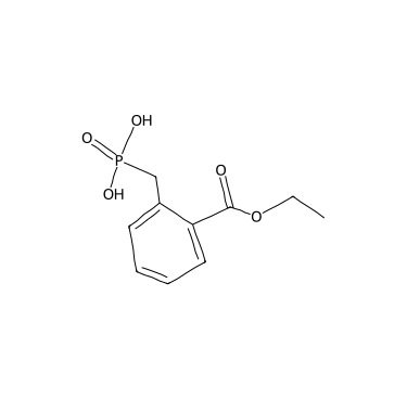 CCOC(=O)c1ccccc1CP(=O)(O)O